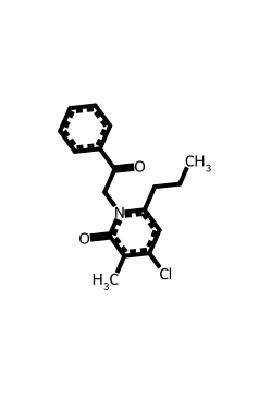 CCCc1cc(Cl)c(C)c(=O)n1CC(=O)c1ccccc1